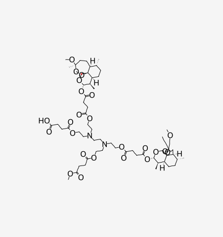 COC(=O)CCC(=O)OCCN(CCOC(=O)CCC(=O)O[C@@H]1OC[C@@]23OOC(C)(OC)CC[C@H]2[C@H](C)CC[C@H]3[C@H]1C)CCN(CCOC(=O)CCC(=O)O)CCOC(=O)CCC(=O)O[C@@H]1OC[C@@]23OO[C@@](C)(OC)CC[C@H]2[C@H](C)CC[C@H]3[C@H]1C